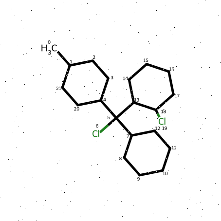 CC1CCC(C(Cl)(C2CCCCC2)C2CCCCC2Cl)CC1